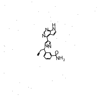 C#CCC(c1cccc(C(N)=O)c1)n1cc(-c2ncnc3[nH]ccc23)cn1